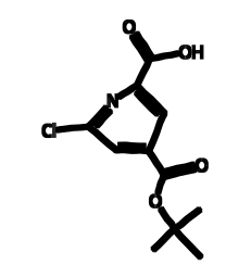 CC(C)(C)OC(=O)c1cc(Cl)nc(C(=O)O)c1